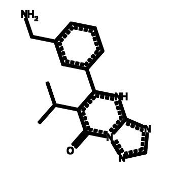 CC(C)c1c(-c2cccc(CN)c2)[nH]c2ncnn2c1=O